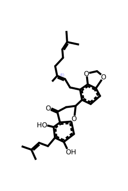 CC(C)=CCC/C(C)=C/Cc1c(C2CC(=O)c3c(cc(O)c(CC=C(C)C)c3O)O2)ccc2c1OCO2